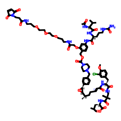 COc1ccc(C[C@@H](NC(=O)/C=C/CC[C@H](C)[C@H]2O[C@@H]2c2ccc(CN3CCN(C(=O)OCc4ccc(NC(=O)[C@H](CCCNC(N)=O)NC(=O)[C@@H](NC(C)=O)C(C)C)cc4OCC(=O)NCCCOCCOCCOCCCNC(=O)CCN4C(=O)C=CC4=O)CC3)cc2)C(=O)NCC(C)(C)C(=O)N[C@@H](CC(C)C)C(=O)O)cc1Cl